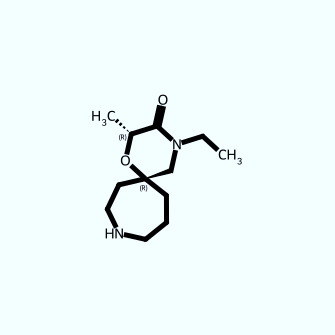 CCN1C[C@]2(CCCNCC2)O[C@H](C)C1=O